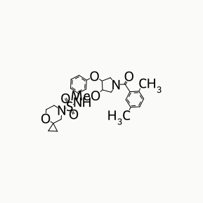 COC1CN(C(=O)c2cc(C)ccc2C)CC1Oc1cccc(NS(=O)(=O)N2CCOC3(CC3)C2)c1